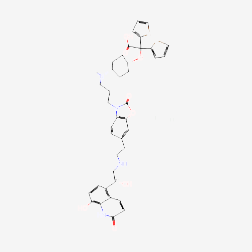 CN(CCCn1c(=O)oc2cc(CCNC[C@H](O)c3ccc(O)c4[nH]c(=O)ccc34)ccc21)[C@H]1CC[C@H](OC(C(=O)O)(c2cccs2)c2cccs2)CC1.F.F